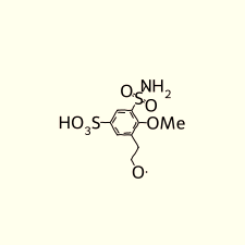 COc1c(CC[O])cc(S(=O)(=O)O)cc1S(N)(=O)=O